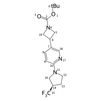 CC(C)(C)OC(=O)N1CC(c2ccc(N3CC[C@@H](C(F)(F)F)C3)nc2)C1